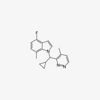 Cc1ccnnc1C(C1CC1)n1ccc2c(F)ccc(C)c21